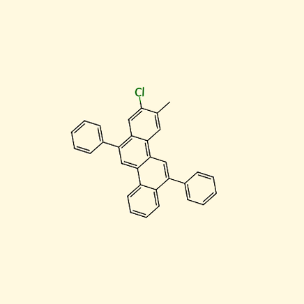 Cc1cc2c(cc1Cl)c(-c1ccccc1)cc1c3ccccc3c(-c3ccccc3)cc21